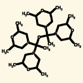 CC1CN(C(C)(OC(C)(N2CC(C)OC(C)C2)N2CC(C)OC(C)C2)N2CC(C)OC(C)C2)CC(C)O1